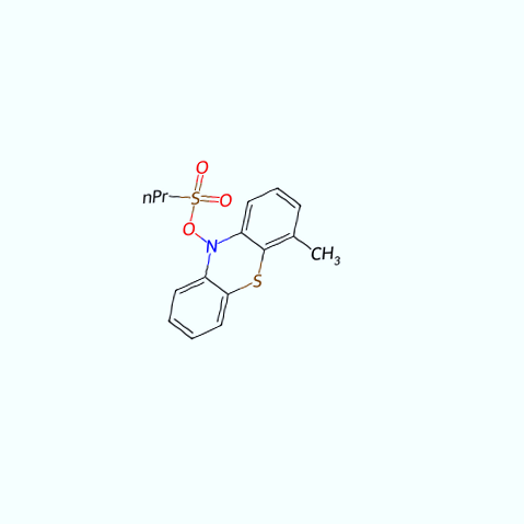 CCCS(=O)(=O)ON1c2ccccc2Sc2c(C)cccc21